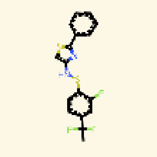 CC(F)(F)c1ccc(SNc2csc(-c3ccccc3)n2)c(F)c1